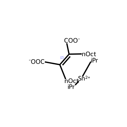 CCCCCCCC/C(C(=O)[O-])=C(\CCCCCCCC)C(=O)[O-].C[CH](C)[Sn+2][CH](C)C